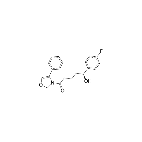 O=C(CCC[C@H](O)c1ccc(F)cc1)N1COC=C1c1ccccc1